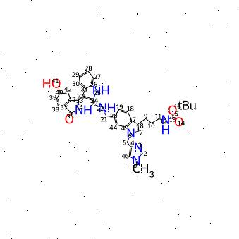 Cn1cnc(Cn2cc(CCCNC(=O)OC(C)(C)C)c3ccc(CNCc4[nH]c5ccccc5c4C4NC(=O)c5ccc(O)cc54)cc32)c1